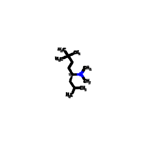 CC(C)C[C@H](CCC(C)(C)C)N(C)C